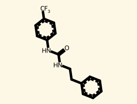 O=C(NCCc1ccccc1)Nc1ccc(C(F)(F)F)cc1